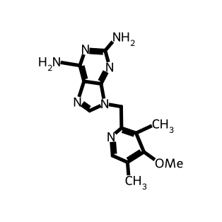 COc1c(C)cnc(Cn2cnc3c(N)nc(N)nc32)c1C